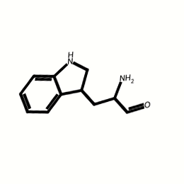 NC(C=O)CC1CNc2ccccc21